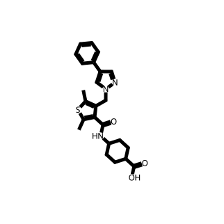 Cc1sc(C)c(C(=O)NC2CCC(C(=O)O)CC2)c1Cn1cc(-c2ccccc2)cn1